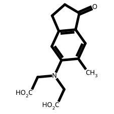 Cc1cc2c(cc1N(CC(=O)O)CC(=O)O)CCC2=O